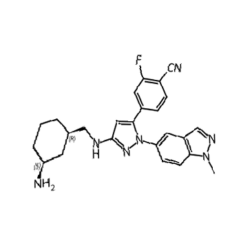 Cn1ncc2cc(-n3nc(NC[C@@H]4CCC[C@H](N)C4)cc3-c3ccc(C#N)c(F)c3)ccc21